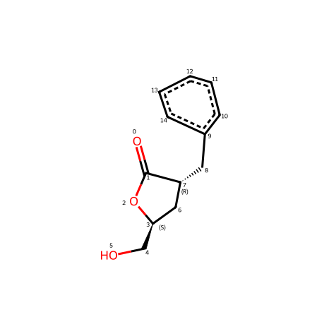 O=C1O[C@H](CO)C[C@H]1Cc1ccccc1